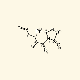 C=CCC[C@H](C)C(=O)N1C(=O)OC[C@H]1C(C)C